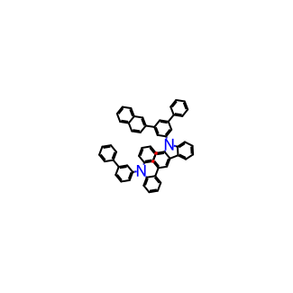 c1ccc(-c2cccc(N(c3ccccc3)c3ccccc3-c3ccc4c(c3)c3ccccc3n4-c3cc(-c4ccccc4)cc(-c4ccc5ccccc5c4)c3)c2)cc1